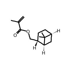 C=C(C)C(=O)OC[C@@H]1CC[C@H]2C[C@@H]1C2(C)C